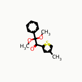 COC(OC)(C(=O)c1cc(C)cs1)c1ccccc1